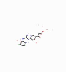 CCOC(OCC)c1cc(-c2cc3ncc(C#N)c(Nc4cc(OC)c(Cl)cc4Cl)c3cc2OC)co1